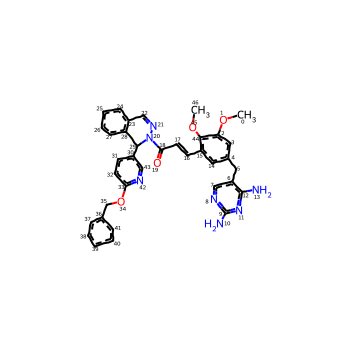 COc1cc(Cc2cnc(N)nc2N)cc(C=CC(=O)N2N=Cc3ccccc3C2c2ccc(OCc3ccccc3)nc2)c1OC